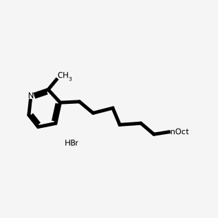 Br.CCCCCCCCCCCCCCc1cccnc1C